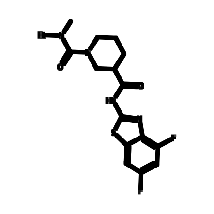 CCN(C)C(=O)N1CCCC(C(=O)Nc2nc3c(F)cc(F)cc3s2)C1